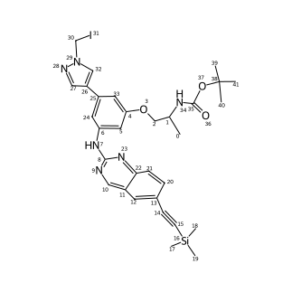 CC(COc1cc(Nc2ncc3cc(C#C[Si](C)(C)C)ccc3n2)cc(-c2cnn(CI)c2)c1)NC(=O)OC(C)(C)C